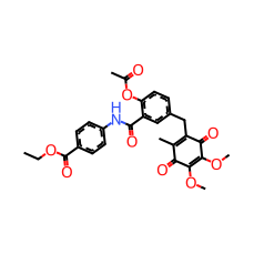 CCOC(=O)c1ccc(NC(=O)c2cc(CC3=C(C)C(=O)C(OC)=C(OC)C3=O)ccc2OC(C)=O)cc1